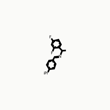 CC(C)c1ccc(C=NC(C)c2ccc(F)cc2F)cc1